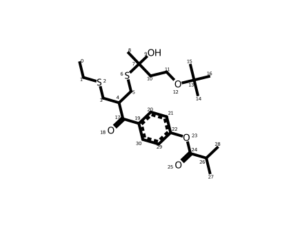 CCSCC(CSC(C)(O)CCOC(C)(C)C)C(=O)c1ccc(OC(=O)C(C)C)cc1